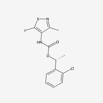 Cc1nsc(I)c1NC(=O)O[C@H](C)c1ccccc1Cl